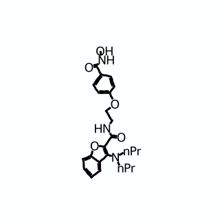 CCCN(CCC)c1c(C(=O)NCCOc2ccc(C(=O)NO)cc2)oc2ccccc12